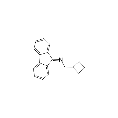 c1ccc2c(c1)C(=NCC1CCC1)c1ccccc1-2